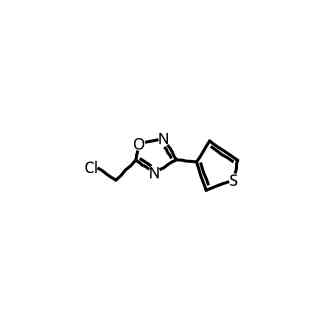 ClCc1nc(-c2ccsc2)no1